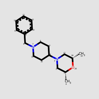 C[C@@H]1CN(C2CCN(Cc3ccccc3)CC2)C[C@H](C)O1